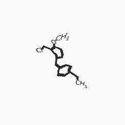 CCc1ccc(Cc2ccc(OC)c(CCl)c2)cc1